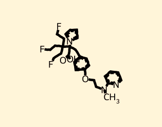 CN(CCOc1ccc(CC(C(=O)O)(n2cccc2)C(CCF)(CCF)CCF)cc1)c1ccccn1